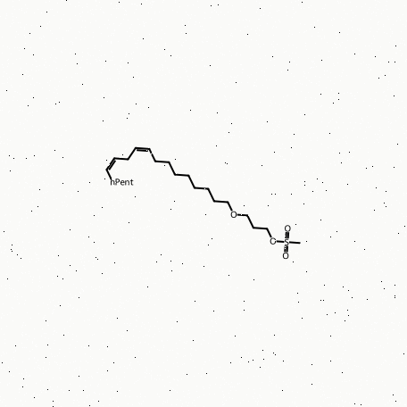 CCCCC/C=C\C/C=C\CCCCCCCCOCCCOS(C)(=O)=O